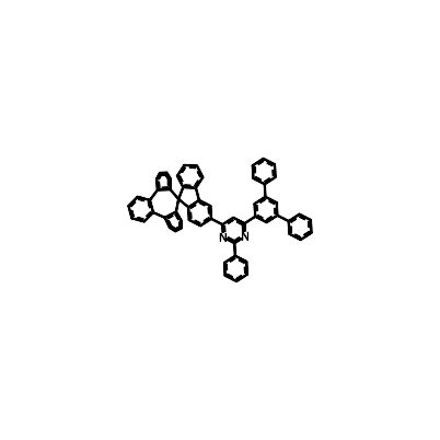 c1ccc(-c2cc(-c3ccccc3)cc(-c3cc(-c4ccc5c(c4)-c4ccccc4C54c5ccccc5-c5ccccc5-c5ccccc54)nc(-c4ccccc4)n3)c2)cc1